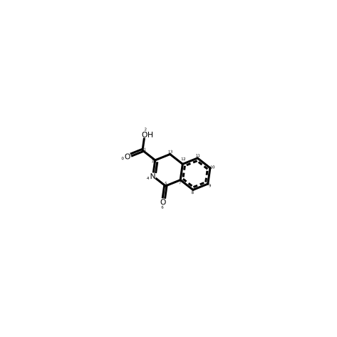 O=C(O)C1=NC(=O)c2ccccc2C1